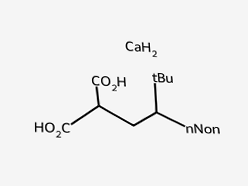 CCCCCCCCCC(CC(C(=O)O)C(=O)O)C(C)(C)C.[CaH2]